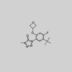 Cn1nnn(-c2cc(C(C)(C)C)c(F)cc2OC2COC2)c1=O